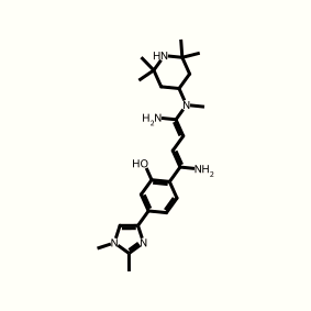 Cc1nc(-c2ccc(/C(N)=C/C=C(\N)N(C)C3CC(C)(C)NC(C)(C)C3)c(O)c2)cn1C